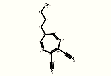 CCCCC1C=NC(C#N)=C(C#N)N=C1